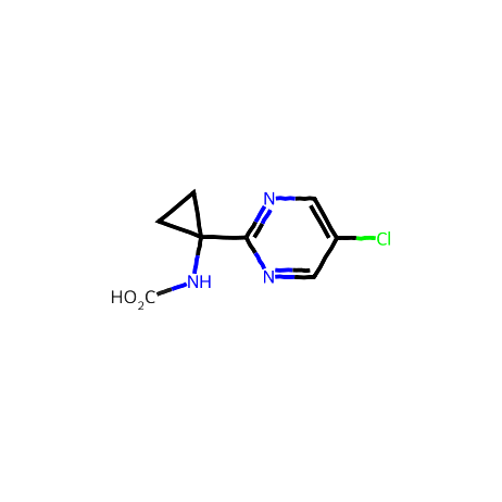 O=C(O)NC1(c2ncc(Cl)cn2)CC1